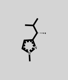 CC(C)[C@H](C)c1ccn(C)n1